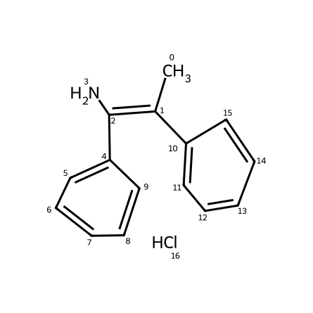 CC(=C(N)c1ccccc1)c1ccccc1.Cl